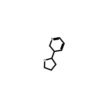 [CH]1N=CC=CC1C1CCCO1